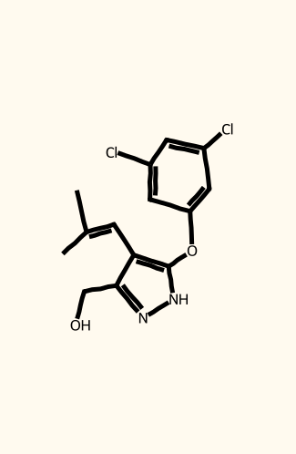 CC(C)=Cc1c(CO)n[nH]c1Oc1cc(Cl)cc(Cl)c1